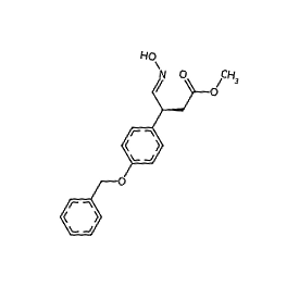 COC(=O)C[C@H](C=NO)c1ccc(OCc2ccccc2)cc1